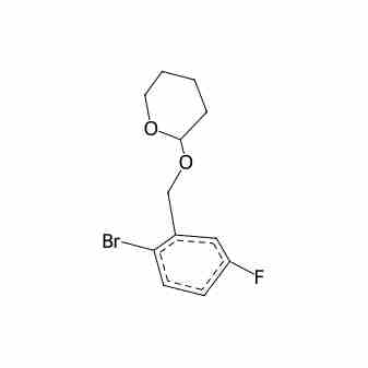 Fc1ccc(Br)c(COC2CCCCO2)c1